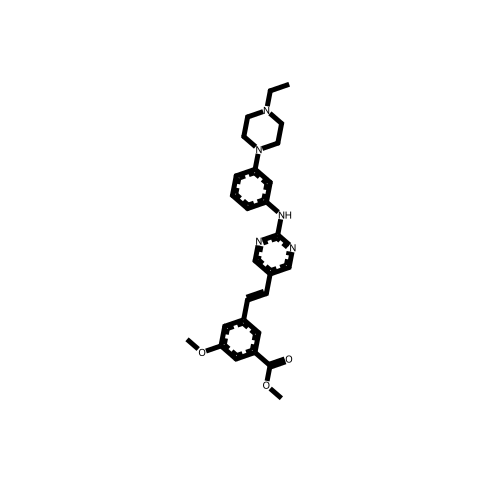 CCN1CCN(c2cccc(Nc3ncc(C=Cc4cc(OC)cc(C(=O)OC)c4)cn3)c2)CC1